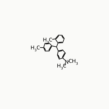 Cc1ccc(C(c2ccc(N(C)C)cc2)c2ccccc2C)cc1